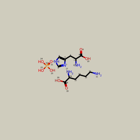 NC(Cc1c[nH]cn1)C(=O)O.NCCCCC(N)C(=O)O.O=P(O)(O)O